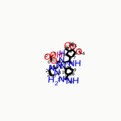 CC(=O)O.COc1cc(C(Nc2ccc(C(=N)N)cc2)c2nn(-c3ncccn3)c(=O)[nH]2)cc2c1OCOC2